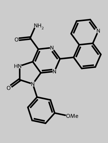 COc1cccc(-n2c(=O)[nH]c3c(C(N)=O)nc(-c4cccc5ncccc45)nc32)c1